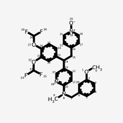 COc1cccc(CN(C)c2ccc(C(Cc3cc[n+]([O-])cc3)c3ccc(OC(F)F)c(OC(F)F)c3)cn2)c1